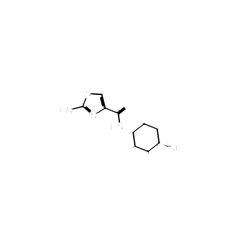 Nc1nc(C(=O)N[C@H]2CC[C@H](N)CC2)c[nH]1